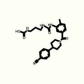 Cc1ccc(C(=O)N2CCC(c3ccc(C#N)cc3)CC2)cc1NC(=O)NCCCNC(=O)O